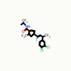 C[C@@H](NC(=O)c1ccc(/C(F)=C/C(c2ccc(Cl)c(Cl)c2)C(F)(F)F)cc1C(F)(F)F)C(F)(F)F